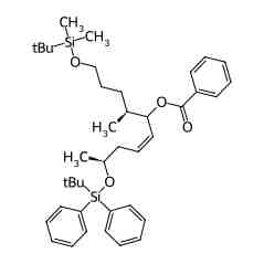 C[C@@H](C/C=C\C(OC(=O)c1ccccc1)[C@@H](C)CCCO[Si](C)(C)C(C)(C)C)O[Si](c1ccccc1)(c1ccccc1)C(C)(C)C